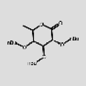 CCCCOC1C(C)OC(=O)[C@@H](OCCCC)C1OCCCC